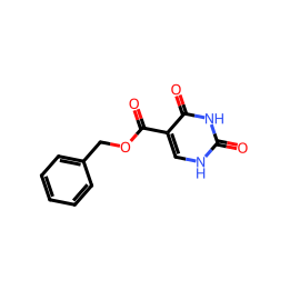 O=C(OCc1ccccc1)c1c[nH]c(=O)[nH]c1=O